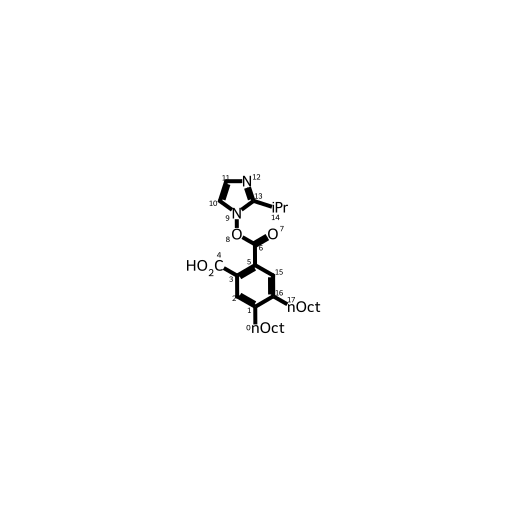 CCCCCCCCc1cc(C(=O)O)c(C(=O)On2ccnc2C(C)C)cc1CCCCCCCC